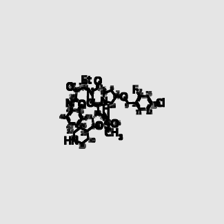 CC[C@H](NC(=O)[C@@H]1C[C@@H](OCc2ccc(Cl)cc2F)CN1C(=O)[C@@H](CCC1CCNCC1)NS(C)(=O)=O)C(=O)c1nc2ccccc2o1